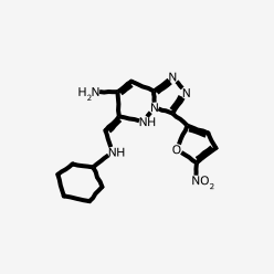 NC1=Cc2nnc(-c3ccc([N+](=O)[O-])o3)n2NC1=CNC1CCCCC1